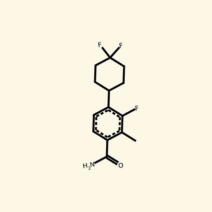 Cc1c(C(N)=O)ccc(C2CCC(F)(F)CC2)c1F